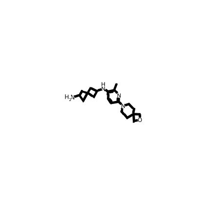 Cc1nc(N2CCC3(CC2)COC3)ccc1NC1CC2(CC(N)C2)C1